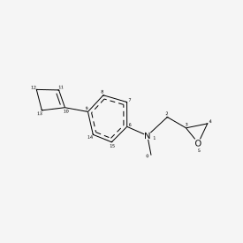 CN(CC1CO1)c1ccc(C2=CCC2)cc1